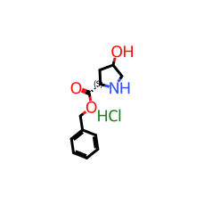 Cl.O=C(OCc1ccccc1)[C@@H]1CC(O)CN1